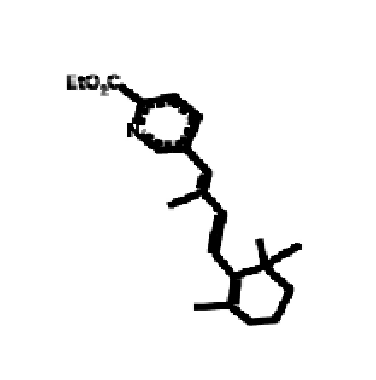 CCOC(=O)c1ccc(/C=C(C)/C=C/C2=C(C)CCCC2(C)C)cn1